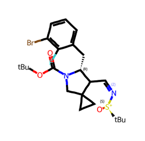 CC(C)(C)OC(=O)N1CC2(CC2)C(/C=N\[S@+]([O-])C(C)(C)C)[C@H]1Cc1cccc(Br)c1F